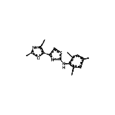 Cc1cc(C)c(Nc2nc(-c3oc(C)nc3C)cs2)c(C)c1